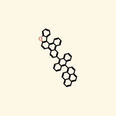 c1cc2ccc3ccc(-c4c5ccccc5c(-c5ccc6c(c5)c5ccccc5c5c6ccc6oc7ccccc7c65)c5ccccc45)c4ccc(c1)c2c34